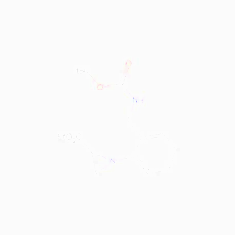 CCOC(=O)C1CN1c1ccccc1CNC(=O)OC(C)(C)C